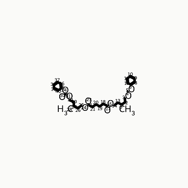 CC(CCOCOc1ccccc1)CCOC(=O)CCCCC(=O)OCCC(C)CCOC(=O)Oc1ccccc1